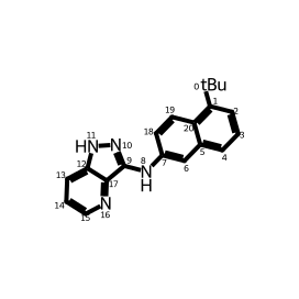 CC(C)(C)c1cccc2cc(Nc3n[nH]c4cccnc34)ccc12